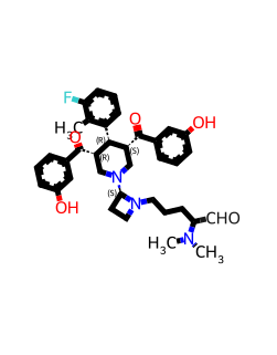 Cc1c(F)cccc1[C@H]1[C@@H](C(=O)c2cccc(O)c2)CN([C@H]2CCN2CCCC(C=O)N(C)C)C[C@H]1C(=O)c1cccc(O)c1